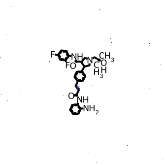 CC(C)(O)CN1CC(C(=O)Nc2ccc(F)cc2F)C(c2ccc(/C=C/C(=O)Nc3ccccc3N)cc2)C1